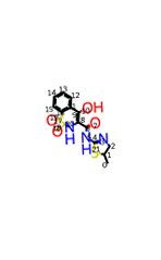 CC1CN=C(NC(=O)C2=C(O)c3ccccc3S(=O)(=O)N2)S1